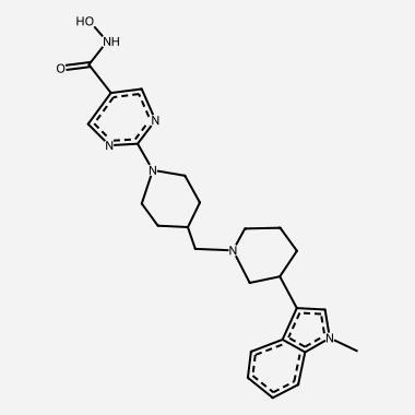 Cn1cc(C2CCCN(CC3CCN(c4ncc(C(=O)NO)cn4)CC3)C2)c2ccccc21